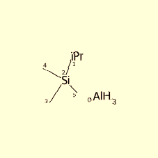 [AlH3].[CH2]C(C)[Si](C)(C)C